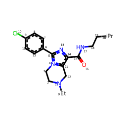 CCN1CCn2c(-c3ccc(Cl)cc3)nc(C(=O)NCCC(C)C)c2C1